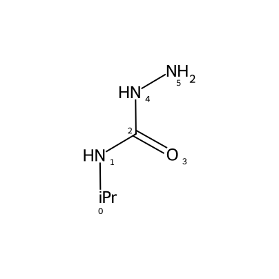 CC(C)NC(=O)NN